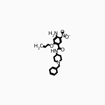 C=CCOc1cc(N)c([N+](=O)[O-])cc1C(=O)NC1CCN(CC2=CCC=CC2)CC1